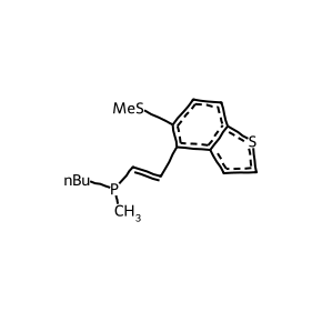 CCCCP(C)/C=C/c1c(SC)ccc2sccc12